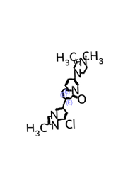 Cc1cn2cc(C3=C\C(=O)N4C=C(N5CCN(C)[C@@H](C)C5)C=C\C4=C/C=C/3)cc(Cl)c2n1